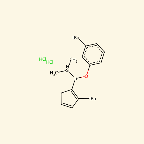 C[SiH](C)[Ti]([O]c1cccc(C(C)(C)C)c1)[C]1=C(C(C)(C)C)C=CC1.Cl.Cl